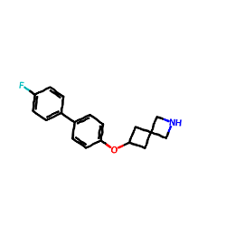 Fc1ccc(-c2ccc(OC3CC4(CNC4)C3)cc2)cc1